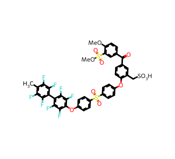 COc1ccc(C(=O)c2ccc(Oc3ccc(S(=O)(=O)c4ccc(Oc5c(F)c(F)c(-c6c(F)c(F)c(C)c(F)c6F)c(F)c5F)cc4)cc3)c(CS(=O)(=O)O)c2)cc1S(=O)(=O)OC